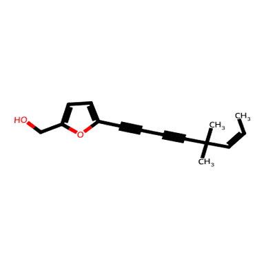 C/C=C\C(C)(C)C#CC#Cc1ccc(CO)o1